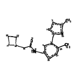 Cc1coc(-c2cc(NC(=O)CC3CCC3)ccc2C(F)(F)F)n1